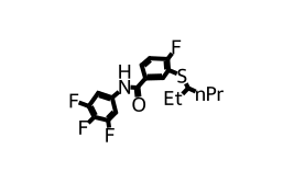 CCCC(CC)Sc1cc(C(=O)Nc2cc(F)c(F)c(F)c2)ccc1F